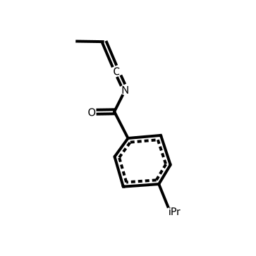 CC=C=NC(=O)c1ccc(C(C)C)cc1